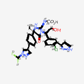 CC(C)(C)C[C@]1(c2ccc(-c3cnn(C(F)F)c3)cc2)NC(=NC(=O)O)N(C(CO)c2ccc(Cl)c(-c3cc[nH]n3)c2)C1=O